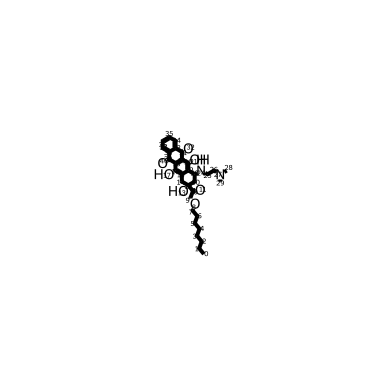 CCCCCCCCOCC(=O)C1(O)Cc2c(O)c3c(c(O)c2C(NCCN(C)C)C1)C(=O)c1ccccc1C3=O